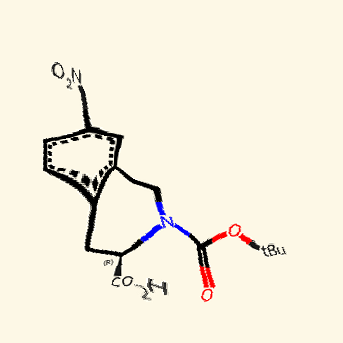 CC(C)(C)OC(=O)N1Cc2cc([N+](=O)[O-])ccc2C[C@@H]1C(=O)O